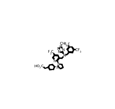 Cn1nnc(N(Cc2cc(C(F)(F)F)cc(C(F)(F)F)c2)Cc2cc(C(F)(F)F)cnc2N2CCC[C@@H]2C2CCC(CC(=O)O)CC2)n1